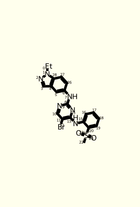 CCn1ncc2cc(Nc3ncc(Br)c(Nc4ccccc4S(C)(=O)=O)n3)ccc21